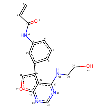 C=CC(=O)Nc1cccc(-c2coc3ncnc(NCCO)c23)c1